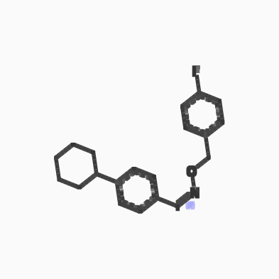 Fc1ccc(CO/N=[C]\c2ccc(C3CCCCC3)cc2)cc1